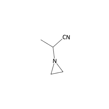 CC(C#N)N1CC1